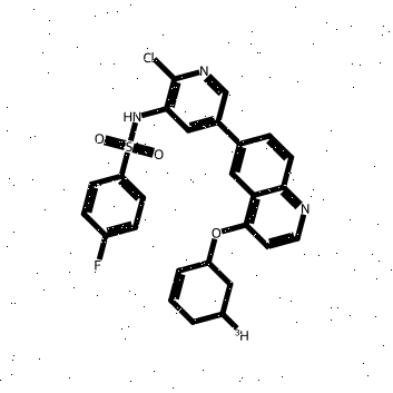 [3H]C1CC=CC(Oc2ccnc3ccc(-c4cnc(Cl)c(NS(=O)(=O)c5ccc(F)cc5)c4)cc23)C1